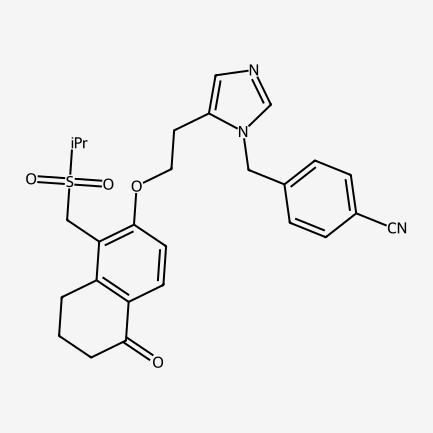 CC(C)S(=O)(=O)Cc1c(OCCc2cncn2Cc2ccc(C#N)cc2)ccc2c1CCCC2=O